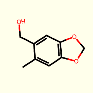 Cc1cc2c(cc1CO)OCO2